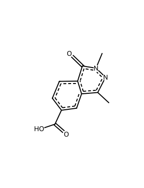 Cc1nn(C)c(=O)c2ccc(C(=O)O)cc12